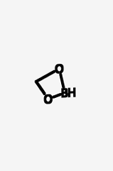 B1OCO1